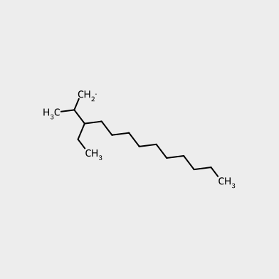 [CH2]C(C)C(CC)CCCCCCCCCC